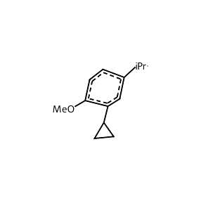 COc1ccc([C](C)C)cc1C1CC1